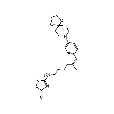 CC(=Cc1ccc(N2CCC3(CC2)OCCO3)cc1)CCCCNC1=NC(=O)CS1